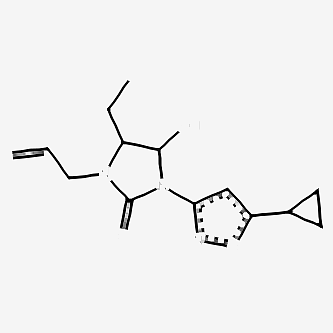 C=CCN1C(=O)N(c2cc(C3CC3)on2)C(O)C1CC